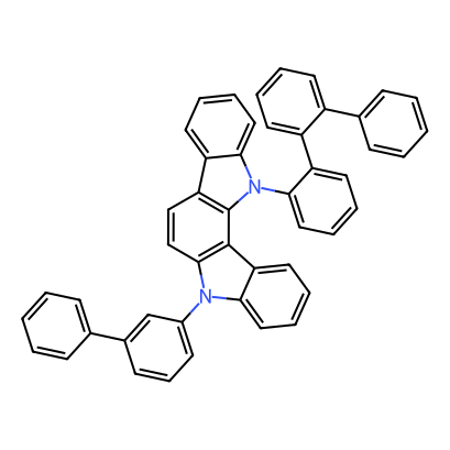 c1ccc(-c2cccc(-n3c4ccccc4c4c3ccc3c5ccccc5n(-c5ccccc5-c5ccccc5-c5ccccc5)c34)c2)cc1